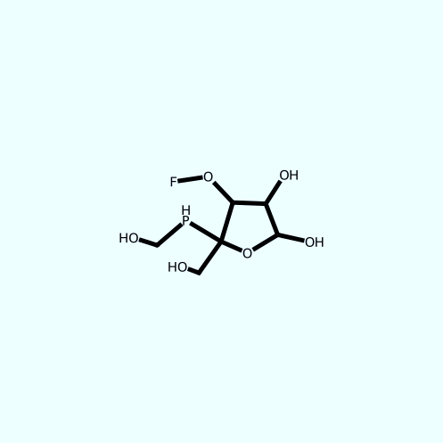 OCPC1(CO)OC(O)C(O)C1OF